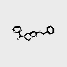 O=C(c1ncccn1)N1CCn2nc(OCc3ccccc3)cc2C1